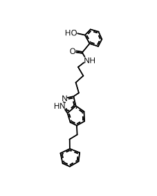 O=C(NCCCCc1n[nH]c2cc(CCc3ccccc3)ccc12)c1ccccc1O